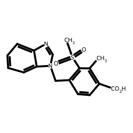 Cc1c(C(=O)O)ccc(Cn2cnc3ccccc32)c1S(C)(=O)=O